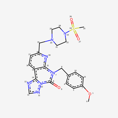 COc1ccc(Cn2c(=O)n3ncnc3c3ccc(CN4CCN(S(C)(=O)=O)CC4)nc32)cc1